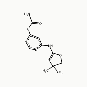 CC1(C)COC(Nc2cc(OC(N)=O)ncn2)=N1